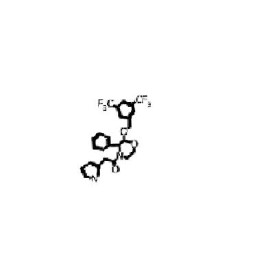 O=C(Cc1cccnc1)N1CCOC(OCc2cc(C(F)(F)F)cc(C(F)(F)F)c2)C1c1ccccc1